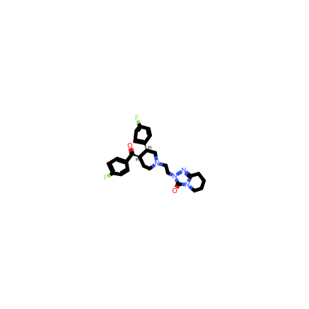 O=C(c1ccc(F)cc1)[C@@H]1CCN(CCn2nc3n(c2=O)CCCC3)C[C@H]1c1ccc(F)cc1